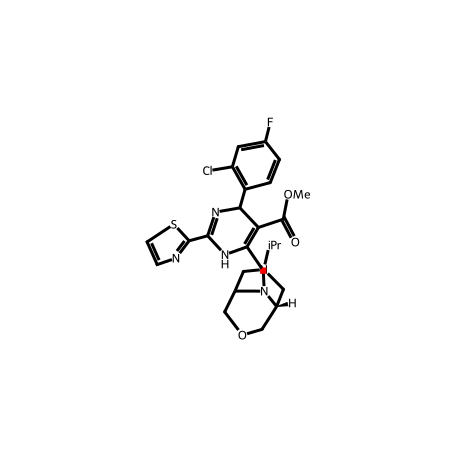 COC(=O)C1=C(CN2C3COC[C@H]2CN(C(C)C)C3)NC(c2nccs2)=NC1c1ccc(F)cc1Cl